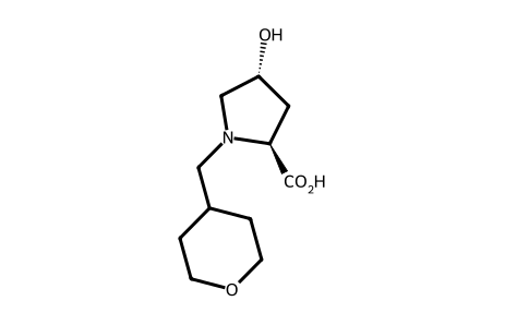 O=C(O)[C@@H]1C[C@@H](O)CN1CC1CCOCC1